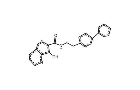 O=C(NCCc1ccc(-c2ccccc2)cc1)c1ncc2cccnc2c1O